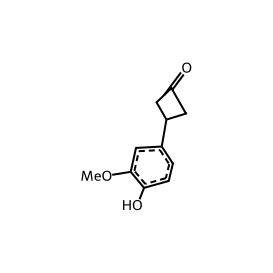 COc1cc(C2CC(=O)C2)ccc1O